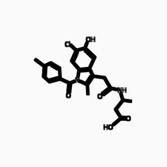 Cc1ccc(C(=O)n2c(C)c(CC(=O)NC(C)CC(=O)O)c3cc(O)c(Cl)cc32)cc1